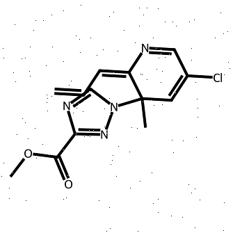 C=C/C=C1/N=CC(Cl)=CC1(C)n1cnc(C(=O)OC)n1